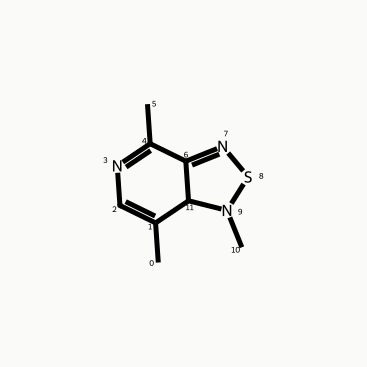 CC1=CN=C(C)C2=NSN(C)C12